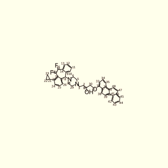 O[C@H](CCN1CCN(C2c3ccccc3C(F)C(F)c3c(C4CC4)cccc32)CC1)COc1cccc2c1ccc1c3ccccc3ccc21